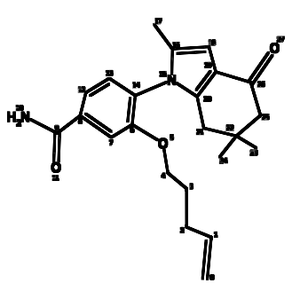 C=CCCCOc1cc(C(N)=O)ccc1-n1c(C)cc2c1CC(C)(C)CC2=O